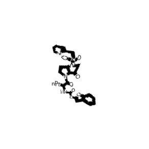 CCCC(NC(=O)Oc1cc2ccccc2o1)C(=O)N1CCC2C1C(=O)CN2S(=O)(=O)Cc1ccccn1